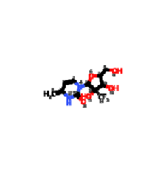 C=C1C=CN(C2OC(CO)C(O)[C@@]2(O)C(F)(F)F)C(=O)N1